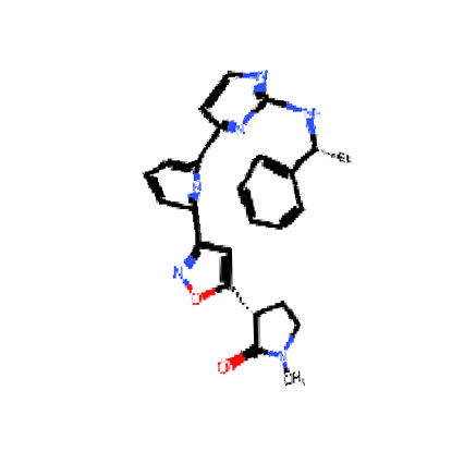 CC[C@@H](Nc1nccc(-c2cccc(-c3cc([C@@H]4CCN(C)C4=O)on3)n2)n1)c1ccccc1